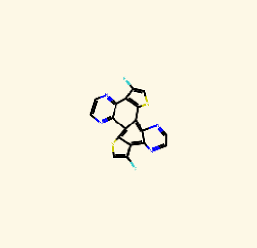 Fc1csc2c1c1nccnc1c1c3scc(F)c3c3nccnc3c21